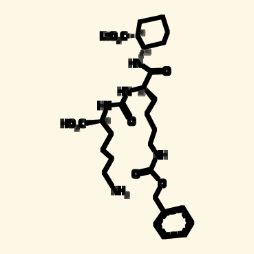 CCOC(=O)[C@@H]1CCCC[C@@H]1NC(=O)[C@@H](CCCCNC(=O)OCc1ccccc1)NC(=O)N[C@@H](CCCCN)C(=O)O